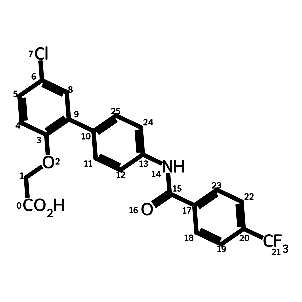 O=C(O)COc1ccc(Cl)cc1-c1ccc(NC(=O)c2ccc(C(F)(F)F)cc2)cc1